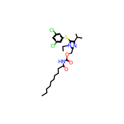 CCCCCCCCCC(=O)NC(=O)OCc1nc(C(C)C)c(Sc2cc(Cl)cc(Cl)c2)n1CC